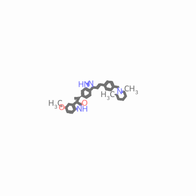 COC1C=CC2=C(C1)[C@]1(C[C@H]1c1ccc3c(/C=C/c4ccc(CN5[C@H](C)CCC[C@@H]5C)cc4)n[nH]c3c1)C(=O)N2